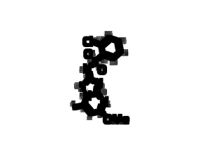 COc1cc(C)n2sc(=NS(=O)(=O)c3ccccc3Cl)nc2n1